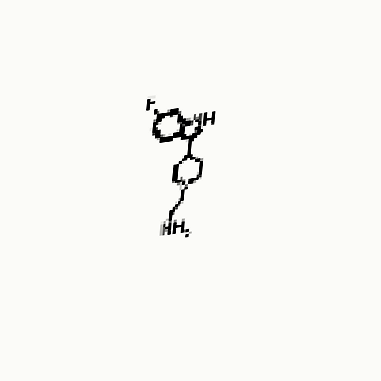 NCCN1CCC(c2c[nH]c3cc(F)ccc23)CC1